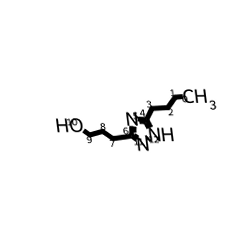 CCCCc1nc(CCCO)n[nH]1